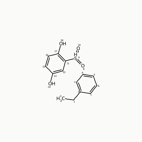 CCc1ccccc1.O=[SH](=O)c1cc(O)ccc1O